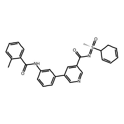 Cc1ccccc1C(=O)Nc1cccc(-c2cncc(C(=O)N=[S@@](C)(=O)C3C=CC=CC3)c2)c1